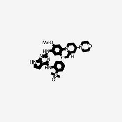 COc1cc2c(cc1Nc1nc(Nc3ccccc3P(C)(C)=O)c3cc[nH]c3n1)OC[C@H]1C[C@@H](N3CCOCC3)CCN21